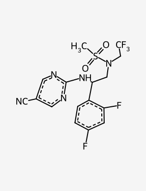 CS(=O)(=O)N(CC(Nc1ncc(C#N)cn1)c1ccc(F)cc1F)CC(F)(F)F